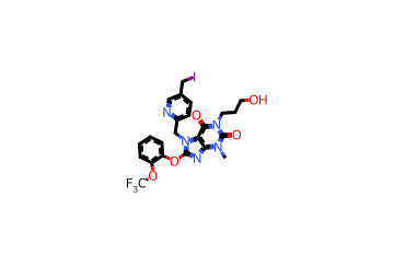 Cn1c(=O)n(CCCO)c(=O)c2c1nc(Oc1ccccc1OC(F)(F)F)n2Cc1ccc(CI)cn1